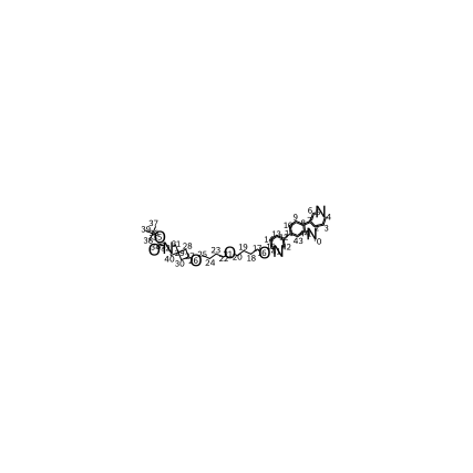 Cn1c2ccncc2c2ccc(-c3ccc(OCCCCOCCCCOC4CC5(C4)CN(C(=O)OC(C)(C)C)C5)nc3)cc21